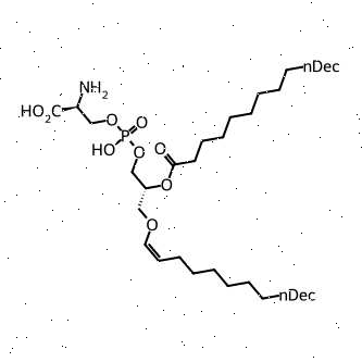 CCCCCCCCCCCCCCCC/C=C\OC[C@H](COP(=O)(O)OC[C@H](N)C(=O)O)OC(=O)CCCCCCCCCCCCCCCCCC